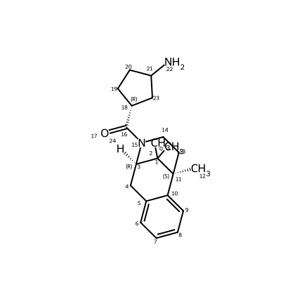 CC1(C)[C@H]2Cc3ccccc3[C@]1(C)CCN2C(=O)[C@@H]1CCC(N)C1